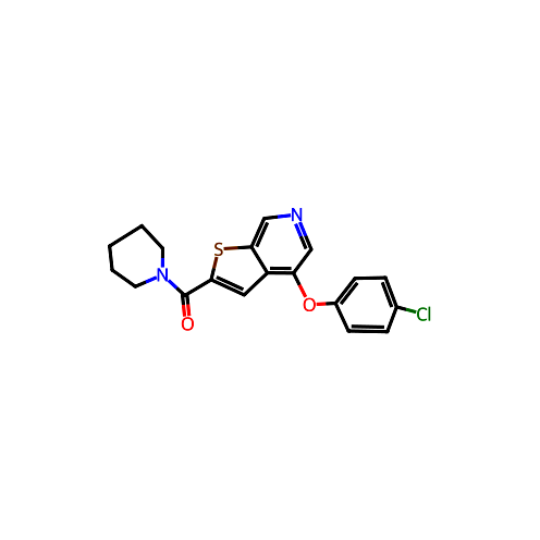 O=C(c1cc2c(Oc3ccc(Cl)cc3)cncc2s1)N1CCCCC1